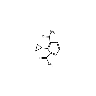 NC(=O)c1cccc(C(N)=O)c1C1CC1